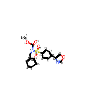 CC(C)(C)OC(=O)N(Cc1ccccc1)S(=O)(=O)c1ccc(-c2cocn2)cc1